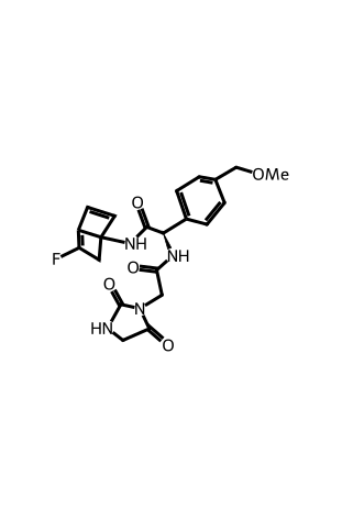 COCc1ccc([C@@H](NC(=O)CN2C(=O)CNC2=O)C(=O)NC23C=CC2=C(F)C3)cc1